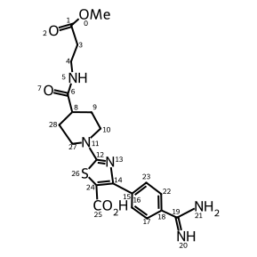 COC(=O)CCNC(=O)C1CCN(c2nc(-c3ccc(C(=N)N)cc3)c(C(=O)O)s2)CC1